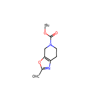 CC(C)(C)OC(=O)N1CCc2nc(C=O)oc2C1